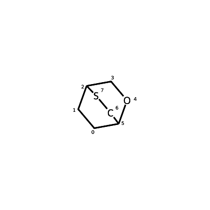 C1CC2COC1CS2